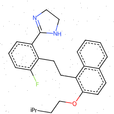 CC(C)CCOc1ccc2ccccc2c1CCc1c(F)cccc1C1=NCCN1